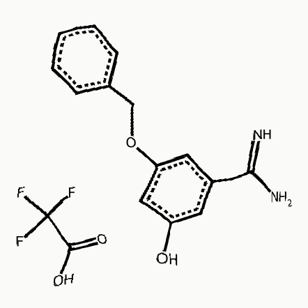 N=C(N)c1cc(O)cc(OCc2ccccc2)c1.O=C(O)C(F)(F)F